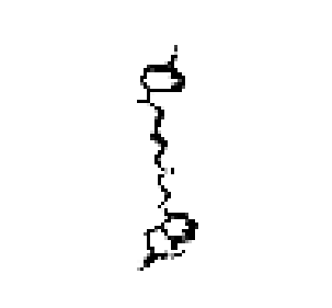 O=C1Cc2c(cccc2OCCNCCCCC(=O)c2ccc(F)cc2)N1